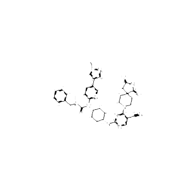 Cn1cc(-c2ccc(N(C(=O)NCc3ccccc3)[C@H]3CC[C@H](Nc4ncc(C#N)c(N5CCC6(CC5)CC(=O)NC6=O)n4)CC3)nc2)cn1